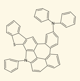 c1ccc(N(c2ccccc2)c2ccc3c(c2)-c2cc4c5ccccc5sc4c4c2c2c5c-3cccc5ccc2n4-c2ccccc2)cc1